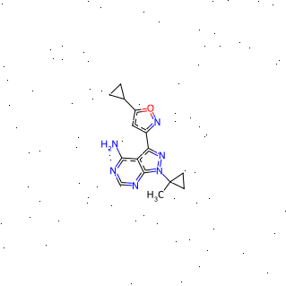 CC1(n2nc(-c3cc(C4CC4)on3)c3c(N)ncnc32)CC1